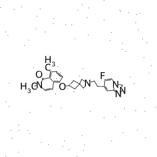 Cc1ccc(OC2CC3(C2)CN(CCc2cc4nncn4cc2F)C3)c2ccn(C)c(=O)c12